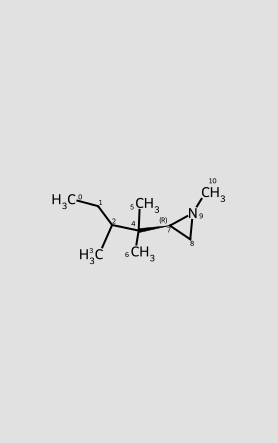 CCC(C)C(C)(C)[C@@H]1CN1C